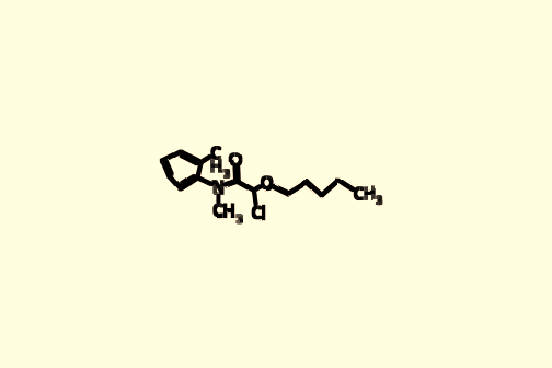 CCCCCOC(Cl)C(=O)N(C)c1ccccc1C